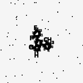 Cc1ncccc1-c1cc(-c2ccc(F)cc2F)cc2c1CNC2=O